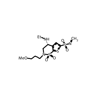 C=NS(=O)(=O)c1cc2c(s1)S(=O)(=O)N(CCCOC)C[C@@H]2NCC